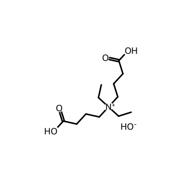 CC[N+](CC)(CCCC(=O)O)CCCC(=O)O.[OH-]